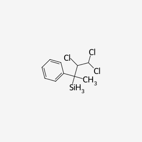 CC([SiH3])(c1ccccc1)C(Cl)C(Cl)Cl